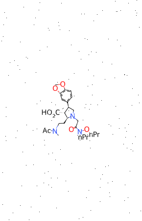 CCCON(CCC)C(=O)CN1C[C@H](c2ccc3c(c2)OCO3)[C@@H](C(=O)O)[C@@H]1CCN(C)C(C)=O